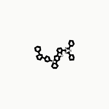 c1ccc(-c2cccc(-c3ccc(-n4c5ccccc5c5cc6oc7c(-c8nc(-c9ccccc9)nc(-c9ccccc9)n8)cccc7c6cc54)cc3)c2)cc1